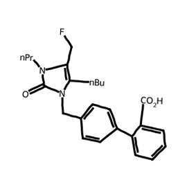 CCCCc1c(CF)n(CCC)c(=O)n1Cc1ccc(-c2ccccc2C(=O)O)cc1